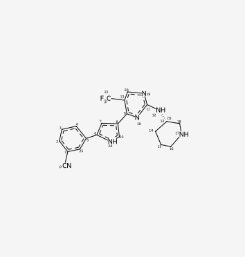 N#Cc1cccc(-c2cc(-c3nc(N[C@H]4CCCNC4)ncc3C(F)(F)F)c[nH]2)c1